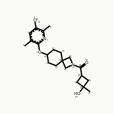 Cc1cc(C(F)(F)F)c(C)nc1OC1CCC2(CC1)CN(C(=O)C1CC(C)(O)C1)C2